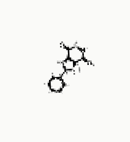 O=C1N=NC(=O)c2[nH]c(-c3ccccc3)nc21